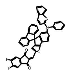 O=C1C(=Cc2cc3c(s2)-c2ccc(N(c4ccccc4)c4ccc5ccccc5n4)cc2C32c3ccccc3-c3ccccc32)C(=O)c2cc(F)c(F)cc21